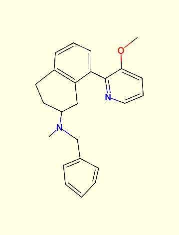 COc1cccnc1-c1cccc2c1CC(N(C)Cc1ccccc1)CC2